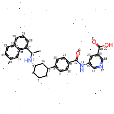 C[C@@H](N[C@H]1CCC[C@H](c2ccc(C(=O)Nc3cncc(C(=O)O)c3)cc2)C1)c1cccc2ccccc12